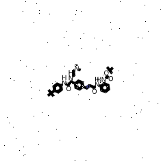 CN(C)CCNC(C(=O)Nc1ccc(C(C)(C)C)cc1)c1ccc(/C=C/C(=O)Nc2ccccc2NC(=O)OC(C)(C)C)cc1